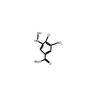 COC(=O)c1cc(NO)c(Cl)c([N+](=O)[O-])c1